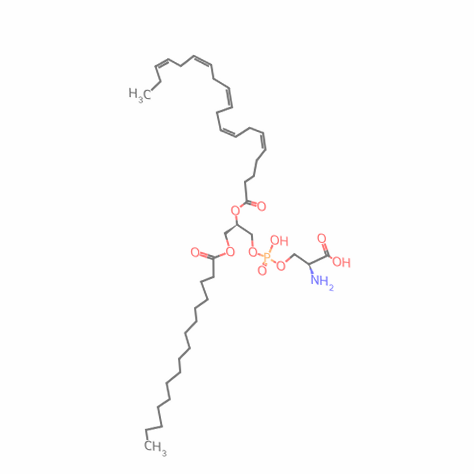 CC/C=C\C/C=C\C/C=C\C/C=C\C/C=C\CCCC(=O)O[C@H](COC(=O)CCCCCCCCCCCCCCC)COP(=O)(O)OC[C@H](N)C(=O)O